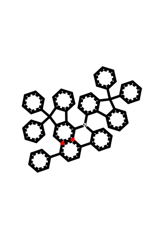 c1ccc(-c2ccc(-c3ccccc3N(c3cccc4c3-c3ccccc3C4(c3ccccc3)c3ccccc3)c3cccc4c3-c3ccccc3C4(c3ccccc3)c3ccccc3)cc2)cc1